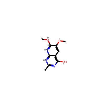 COc1cc2c(O)nc(C)nc2nc1OC